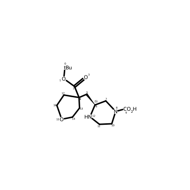 CC(C)(C)OC(=O)C1(C[C@H]2CN(C(=O)O)CCN2)CCOCC1